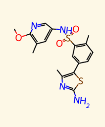 COc1ncc(NS(=O)(=O)c2cc(-c3sc(N)nc3C)ccc2C)cc1C